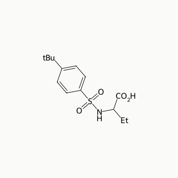 [CH2]CC(NS(=O)(=O)c1ccc(C(C)(C)C)cc1)C(=O)O